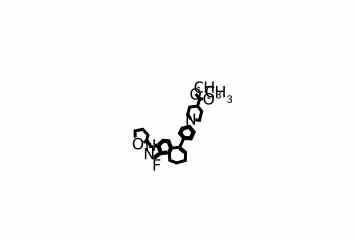 COC(OC)C1CCN(c2ccc(C3=CCCCc4c3ccc3c4c(F)nn3C3CCCCO3)cc2)CC1